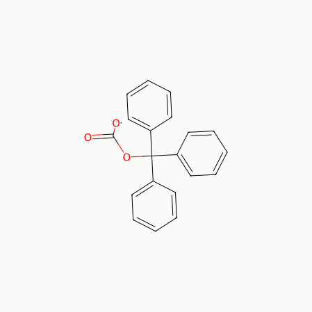 [O]C(=O)OC(c1ccccc1)(c1ccccc1)c1ccccc1